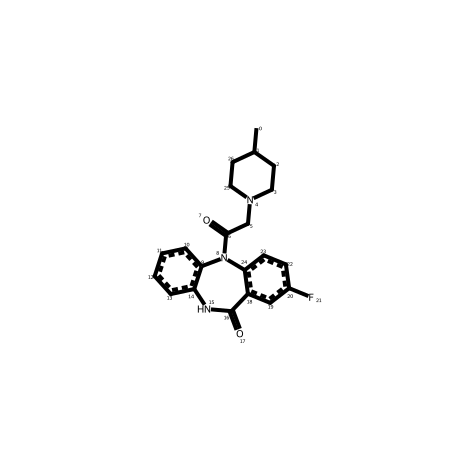 CC1CCN(CC(=O)N2c3ccccc3NC(=O)c3cc(F)ccc32)CC1